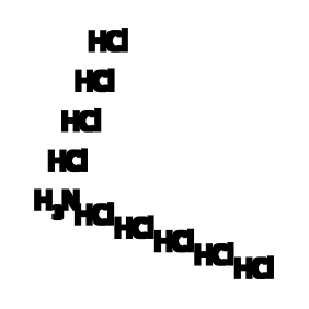 Cl.Cl.Cl.Cl.Cl.Cl.Cl.Cl.Cl.N